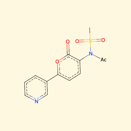 CC(=O)N(c1ccc(-c2cccnc2)oc1=O)S(C)(=O)=O